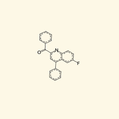 O=C(c1ccccc1)c1cc(-c2ccccc2)c2cc(F)ccc2n1